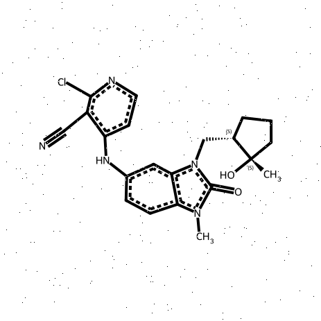 Cn1c(=O)n(C[C@@H]2CCC[C@]2(C)O)c2cc(Nc3ccnc(Cl)c3C#N)ccc21